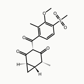 COc1c(S(C)(=O)=O)ccc(C(=O)[C@@H]2C(=O)[C@H](C)[C@@H]3C[C@H]3C2=O)c1C